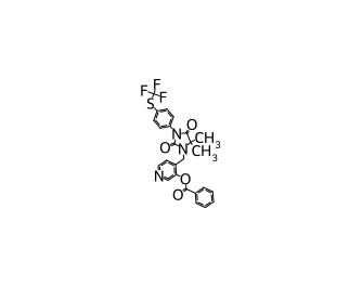 CC1(C)C(=O)N(c2ccc(SC(F)(F)F)cc2)C(=O)N1Cc1ccncc1OC(=O)c1ccccc1